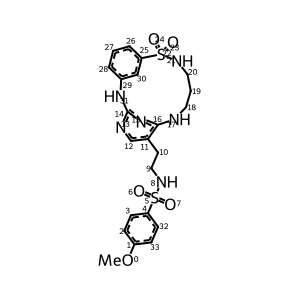 COc1ccc(S(=O)(=O)NCCc2cnc3nc2NCCCNS(=O)(=O)c2cccc(c2)N3)cc1